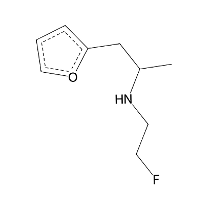 CC(Cc1ccco1)NCCF